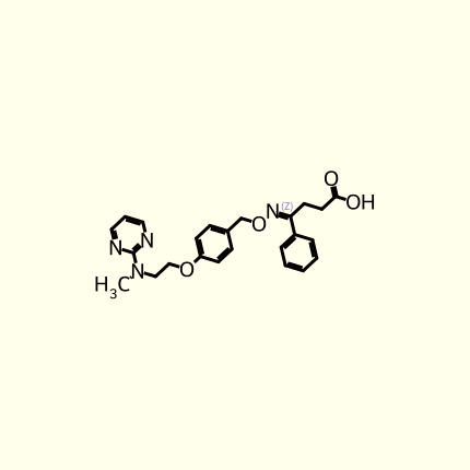 CN(CCOc1ccc(CO/N=C(/CCC(=O)O)c2ccccc2)cc1)c1ncccn1